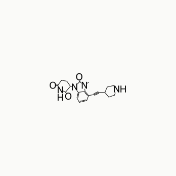 Cn1c(=O)n(C2CCC(=O)NC2=O)c2cccc(C#CC3CCNCC3)c21